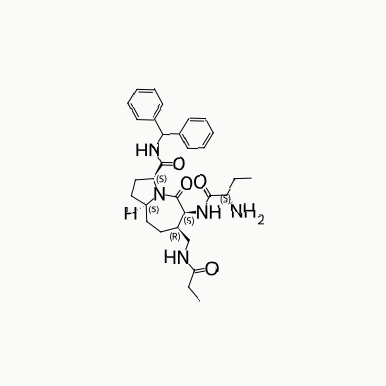 CCC(=O)NC[C@H]1CC[C@H]2CC[C@@H](C(=O)NC(c3ccccc3)c3ccccc3)N2C(=O)[C@H]1NC(=O)[C@@H](N)CC